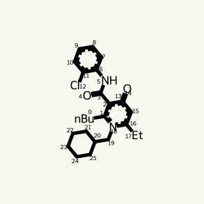 CCCCc1c(C(=O)Nc2ccccc2Cl)c(=O)cc(CC)n1CC1CCCCC1